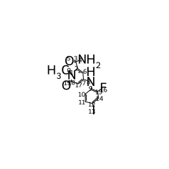 Cn1c(C(N)=O)[c]c(Nc2ccc(I)cc2F)cc1=O